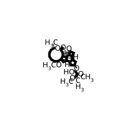 CC[C@H]1CCCC[C@@H](C)C(=O)C2=C[C@@H]3[C@@H]([C@H]4C(=O)C[C@H]4C4C[C@@H](OC(O)/C(OC)=C(/C)OC)C[C@H]43)[C@@H]2CC(=O)O1